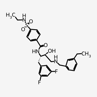 CCNS(=O)(=O)c1ccc(C(=O)N[C@@H](Cc2cc(F)cc(F)c2)[C@@H](O)CNCc2cccc(CC)c2)cc1